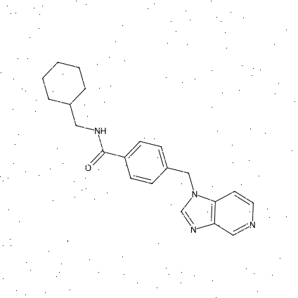 O=C(NCC1CCCCC1)c1ccc(Cn2cnc3cnccc32)cc1